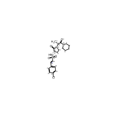 C[C@@H](C(=O)N1CCCCC1)N1CC[C@H](NS(=O)(=O)/C=C/c2ccc(Cl)cc2)C1=O